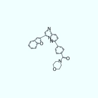 O=C(c1ccc(-c2ccc3ncc(-c4cc5ccccc5o4)n3n2)cc1)N1CCOCC1